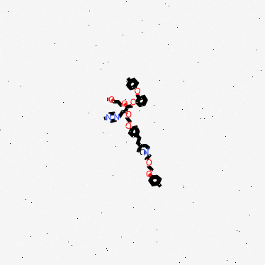 COCCCOC(COc1ccccc1COc1ccc(C)cc1)C(CCN1CCN(C)CC1)OCCOc1ccc(CCC2CCN(CCOCCOc3ccc(C)cc3)CC2)cc1